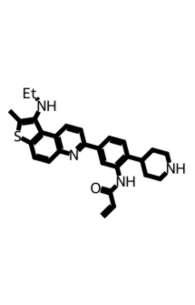 C=CC(=O)Nc1cc(-c2ccc3c(ccc4sc(C)c(NCC)c43)n2)ccc1C1CCNCC1